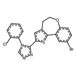 Clc1ccccc1-n1cnnc1-c1cc2c(s1)-c1cc(Br)ccc1OCC2